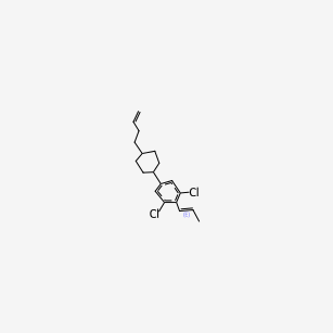 C=CCCC1CCC(c2cc(Cl)c(/C=C/C)c(Cl)c2)CC1